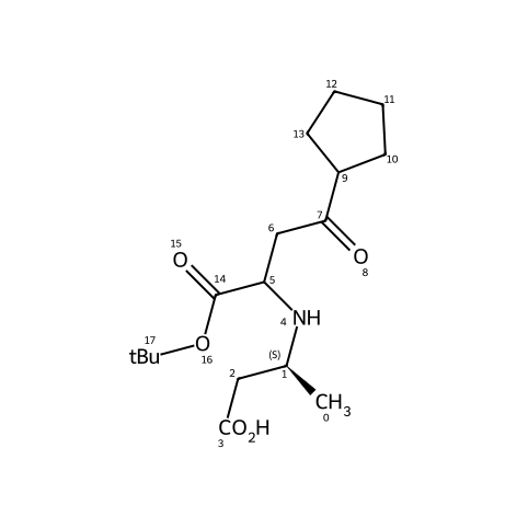 C[C@@H](CC(=O)O)NC(CC(=O)C1CCCC1)C(=O)OC(C)(C)C